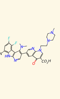 CNc1cc(F)c(F)c2c1[nH]c1ncc(-c3cnc4c(c3)c(=O)c(C(=O)O)cn4CCN3CCN(C)CC3)c(N(C)C)c12